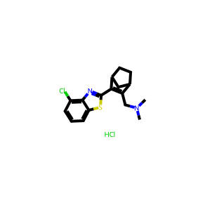 CN(C)CC1=C(c2nc3c(Cl)cccc3s2)C2CCC1C2.Cl